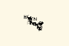 C=C(C)C(=O)OCCN(CCOC(=O)C(=C)C)c1ccc(NCCc2sc(C#N)c(C)c2C#N)cc1